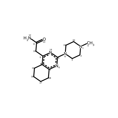 CN1CCN(c2nc3c(c(CC(N)=O)n2)CCCC3)CC1